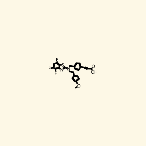 COc1ccc(CCN(Cc2ccc(C#CC(=O)O)cc2)c2nc3c(F)c(F)cc(F)c3s2)cc1